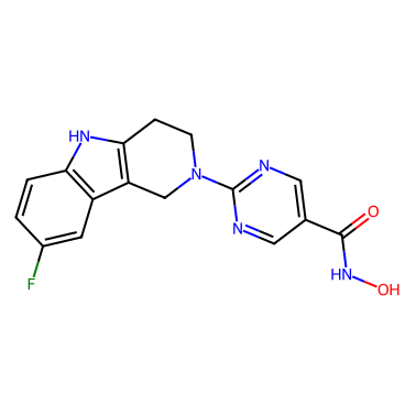 O=C(NO)c1cnc(N2CCc3[nH]c4ccc(F)cc4c3C2)nc1